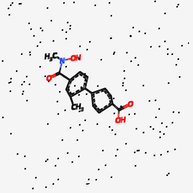 Cc1cc(C(=O)N(C)O)ccc1-c1ccc(C(=O)O)cc1